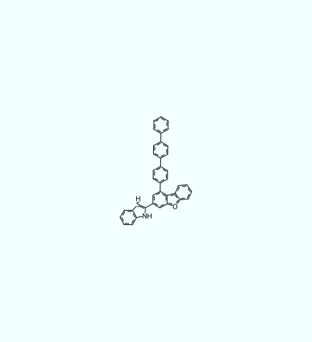 c1ccc(-c2ccc(-c3ccc(-c4cc(C5=[SH]c6ccccc6N5)cc5oc6ccccc6c45)cc3)cc2)cc1